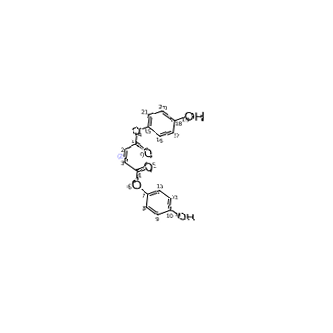 O=C(/C=C\C(=O)Oc1ccc(O)cc1)Oc1ccc(O)cc1